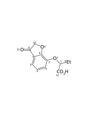 CCC(Oc1cccc2c1OCC2=O)C(=O)O